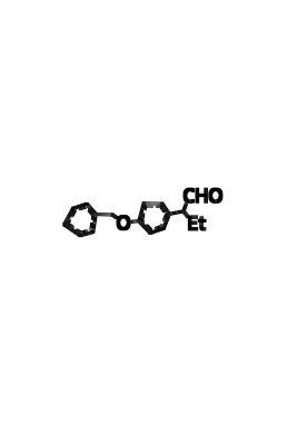 CCC(C=O)c1ccc(OCc2ccccc2)cc1